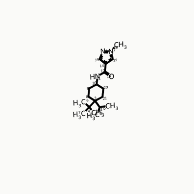 CC(C)C1(C(C)(C)C)CCC(NC(=O)c2cnn(C)c2)CC1